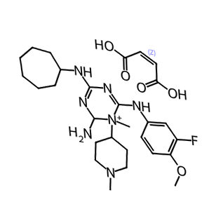 COc1ccc(NC2=NC(NC3CCCCCC3)=NC(N)[N+]2(C)C2CCN(C)CC2)cc1F.O=C(O)/C=C\C(=O)O